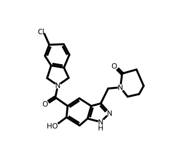 O=C1CCCCN1Cc1n[nH]c2cc(O)c(C(=O)N3Cc4ccc(Cl)cc4C3)cc12